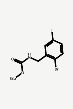 CC(C)(C)OC(=O)NCc1cc(I)ccc1Br